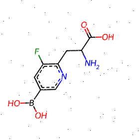 NC(Cc1ncc(B(O)O)cc1F)C(=O)O